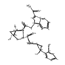 NC(=O)c1nn(CC(=O)N2[C@@H]3C[C@@H]3C[C@H]2C(=O)NC2CC2(F)c2ccccc2F)c2ccccc12